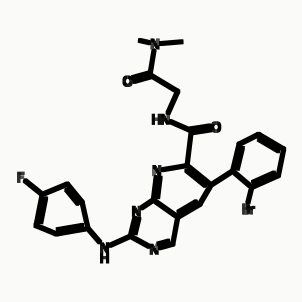 CN(C)C(=O)CNC(=O)c1nc2nc(Nc3ccc(F)cc3)ncc2cc1-c1ccccc1Br